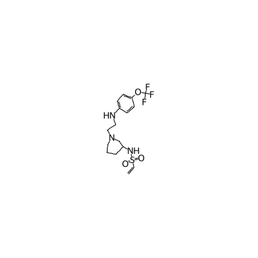 C=CS(=O)(=O)NC1CCCN(CCNc2ccc(OC(F)(F)F)cc2)C1